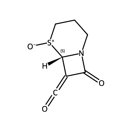 O=C=C1C(=O)N2CCC[S+]([O-])[C@@H]12